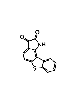 O=C1Nc2c(ccc3sc4ccccc4c23)C1=O